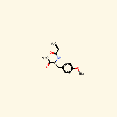 C=CC(=O)N[C@@H](Cc1ccc(OC(C)(C)C)cc1)C(=O)OC